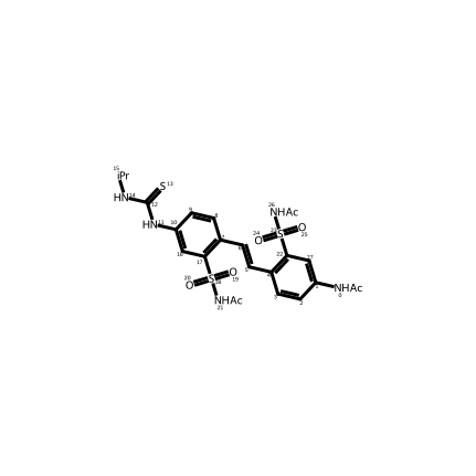 CC(=O)Nc1ccc(/C=C/c2ccc(NC(=S)NC(C)C)cc2S(=O)(=O)NC(C)=O)c(S(=O)(=O)NC(C)=O)c1